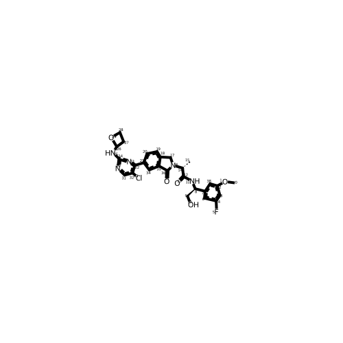 COc1cc(F)cc([C@@H](CO)NC(=O)[C@@H](C)N2Cc3ccc(-c4nc(NC5CCO5)ncc4Cl)cc3C2=O)c1